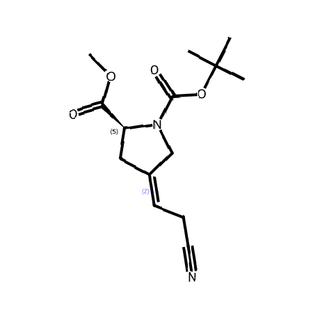 COC(=O)[C@@H]1C/C(=C/CC#N)CN1C(=O)OC(C)(C)C